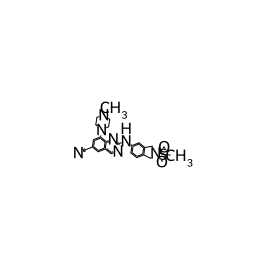 CN1CCN(c2cc(C#N)cc3cnc(Nc4ccc5c(c4)CN(S(C)(=O)=O)C5)nc23)CC1